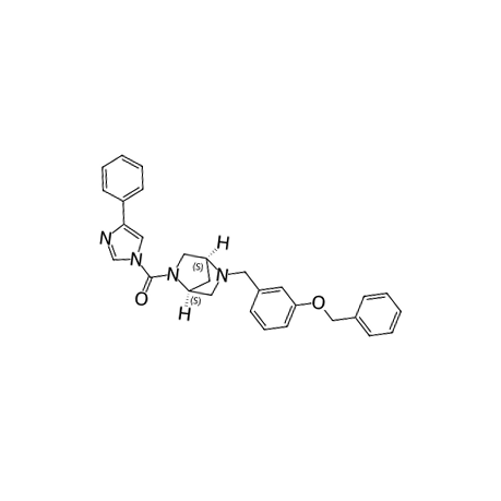 O=C(N1C[C@@H]2C[C@H]1CN2Cc1cccc(OCc2ccccc2)c1)n1cnc(-c2ccccc2)c1